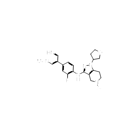 CN/C=C(\C=N)c1ccc(Nc2nn(C3CCOC3)c3c2CN(C(C)=O)CC3)c(F)c1